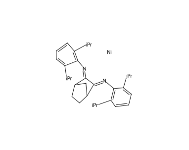 CC(C)c1cccc(C(C)C)c1N=C1C(=Nc2c(C(C)C)cccc2C(C)C)C2CCC1C2.[Ni]